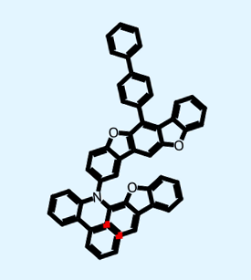 c1ccc(-c2ccc(-c3c4oc5ccc(N(c6ccccc6-c6ccccc6)c6cccc7c6oc6ccccc67)cc5c4cc4oc5ccccc5c34)cc2)cc1